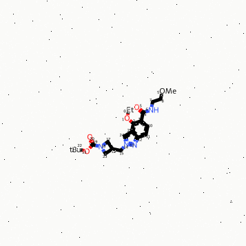 CCOc1c(C(=O)NCCOC)ccc2nn(CC3CN(C(=O)OC(C)(C)C)C3)cc12